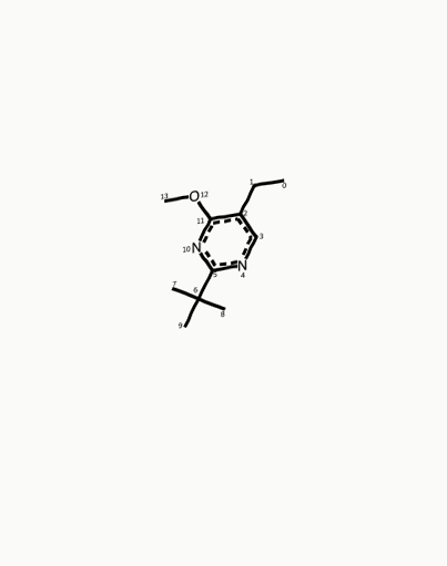 CCc1cnc(C(C)(C)C)nc1OC